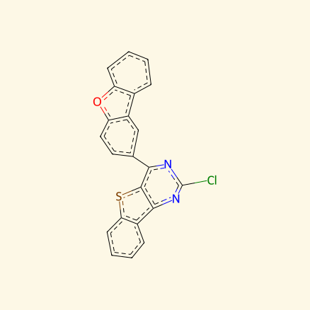 Clc1nc(-c2ccc3oc4ccccc4c3c2)c2sc3ccccc3c2n1